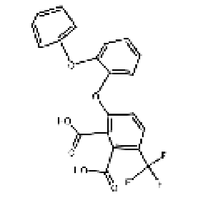 O=C(O)c1c(Oc2ccccc2Oc2ccccc2)ccc(C(F)(F)F)c1C(=O)O